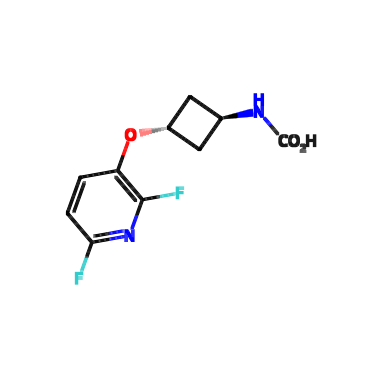 O=C(O)N[C@H]1C[C@H](Oc2ccc(F)nc2F)C1